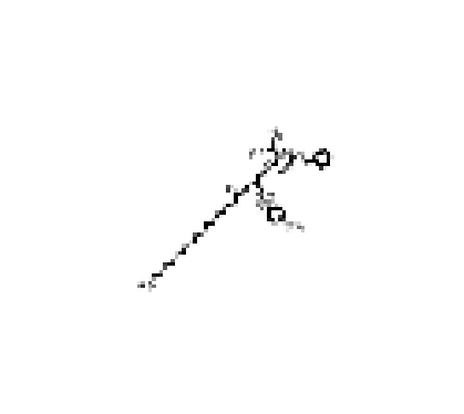 CCCCCCCCCCCCCCCCCC(=O)OC[C@H](CCOC(=O)[C@@H](NC(=O)OCc1ccccc1)C(C)C)COS(=O)(=O)c1ccc(C)cc1